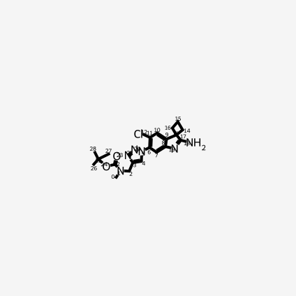 CN(Cc1cn(-c2cc3c(cc2Cl)C2(CCC2)C(N)=N3)nn1)C(=O)OC(C)(C)C